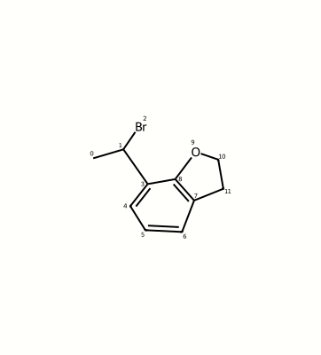 CC(Br)c1cccc2c1OCC2